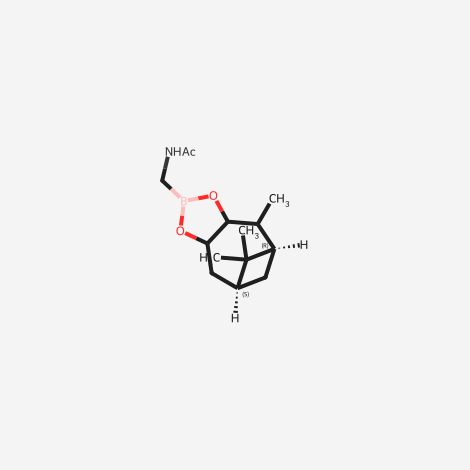 CC(=O)NCB1OC2C[C@@H]3C[C@H](C(C)C2O1)C3(C)C